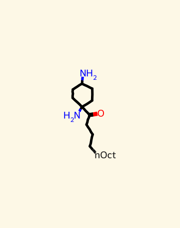 CCCCCCCCCCCC(=O)C1(N)CCC(N)CC1